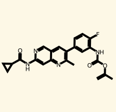 C=C(C)OC(=O)Nc1cc(-c2cc3cnc(NC(=O)C4CC4)cc3nc2C)ccc1F